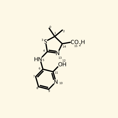 CC1(C)SC(Nc2cccnc2O)=NC1C(=O)O